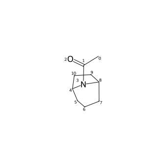 CC(=O)N1C2CCCC1CC2